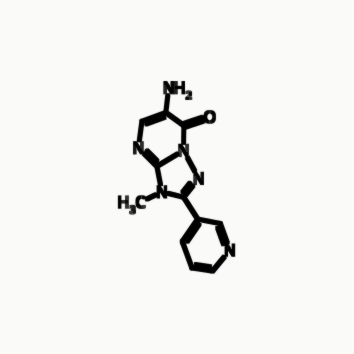 Cn1c(-c2cccnc2)nn2c(=O)c(N)cnc12